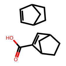 C1=CC2CCC1C2.O=C(O)C1=CC2CCC1C2